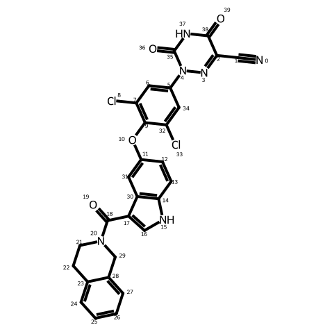 N#Cc1nn(-c2cc(Cl)c(Oc3ccc4[nH]cc(C(=O)N5CCc6ccccc6C5)c4c3)c(Cl)c2)c(=O)[nH]c1=O